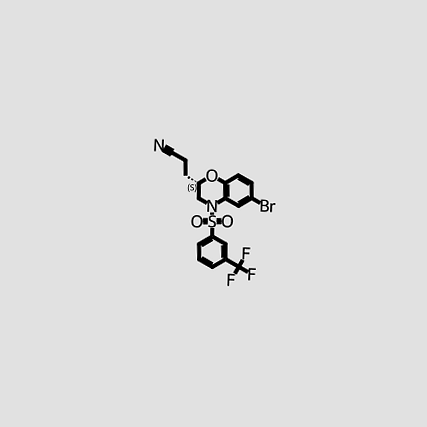 N#CCC[C@H]1CN(S(=O)(=O)c2cccc(C(F)(F)F)c2)c2cc(Br)ccc2O1